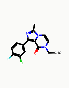 Cc1nc(-c2ccc(F)c(Cl)c2)c2c(=O)n(CC=O)ccn12